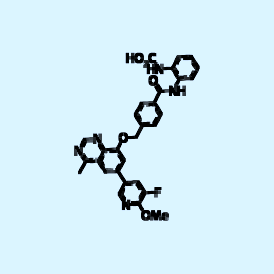 COc1ncc(-c2cc(OCc3ccc(C(=O)Nc4ccccc4NC(=O)O)cc3)c3ncnc(C)c3c2)cc1F